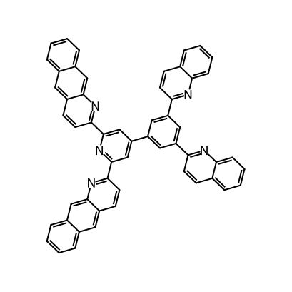 c1ccc2cc3nc(-c4cc(-c5cc(-c6ccc7ccccc7n6)cc(-c6ccc7ccccc7n6)c5)cc(-c5ccc6cc7ccccc7cc6n5)n4)ccc3cc2c1